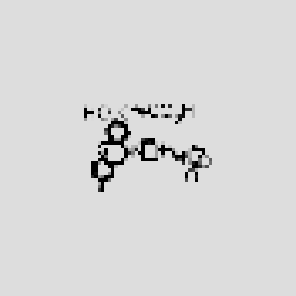 Cc1ccc2c(c1)CC(N1CCN(CCN3CCOC3=O)CC1)c1ccccc1S2.O=C(O)C=CC(=O)O